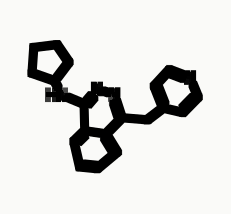 c1ccc2c(NC3CCCC3)nnc(Cc3ccncc3)c2c1